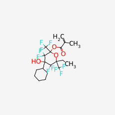 C=C(C)C(=O)OC1(C(F)(F)F)OC(CC)(C(F)(F)F)C(F)(F)C(O)(C2CCCCC2)C1(F)F